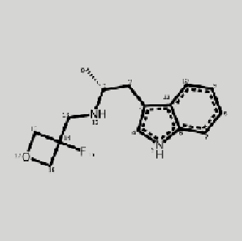 C[C@H](Cc1c[nH]c2ccccc12)NCC1(F)COC1